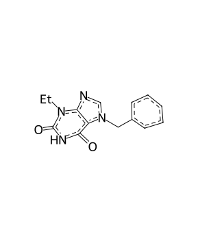 CCn1c(=O)[nH]c(=O)c2c1ncn2Cc1ccccc1